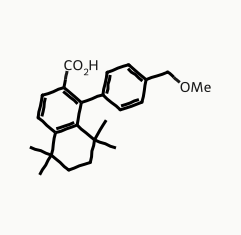 COCc1ccc(-c2c(C(=O)O)ccc3c2C(C)(C)CCC3(C)C)cc1